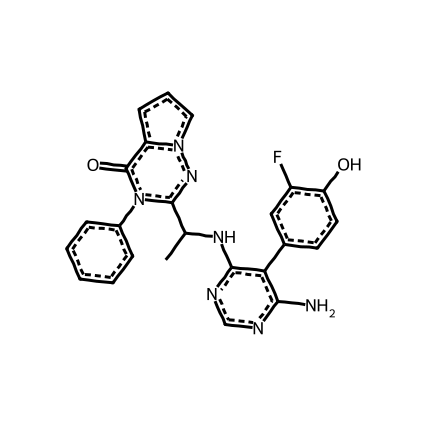 CC(Nc1ncnc(N)c1-c1ccc(O)c(F)c1)c1nn2cccc2c(=O)n1-c1ccccc1